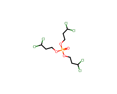 O=P(OCCC(Cl)Cl)(OCCC(Cl)Cl)OCCC(Cl)Cl